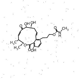 CNC(=O)OCCCc1ccc(O)c2c1/C=C/C[C@H](O)C(O)C(=O)/C=C\C(C)[C@H](C)OC2=O